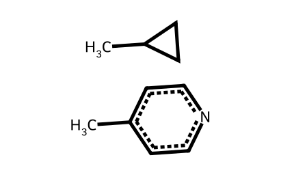 CC1CC1.Cc1ccncc1